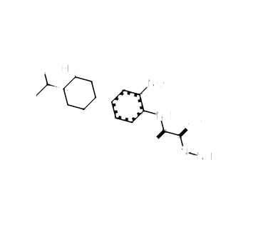 CC(C(=O)O)[C@H]1CC[C@H](c2ccc(NC(=O)C(=O)NN)c([N+](=O)[O-])c2)CC1